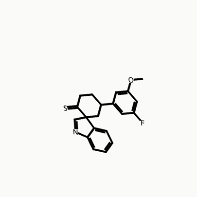 COc1cc(F)cc(C2CCC(=S)C3(C=Nc4ccccc43)C2)c1